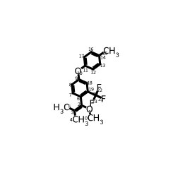 COC(=C(C)C)c1ccc(Oc2ccc(C)cc2)cc1C(F)(F)F